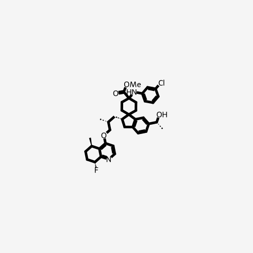 COC(=O)C1(Nc2cccc(Cl)c2)CCC2(CC1)c1cc([C@@H](C)O)ccc1C[C@@H]2C[C@@H](C)COc1ccnc2c1[C@H](C)CC[C@H]2F